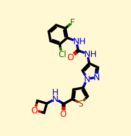 O=C(Nc1cnn(-c2csc(C(=O)NC3COC3)c2)c1)Nc1c(F)cccc1Cl